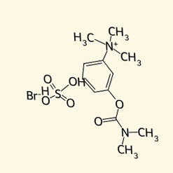 CN(C)C(=O)Oc1cccc([N+](C)(C)C)c1.O=S(=O)(O)O.[Br-]